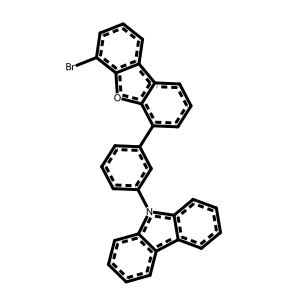 Brc1cccc2c1oc1c(-c3cccc(-n4c5ccccc5c5ccccc54)c3)cccc12